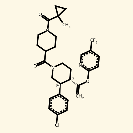 C=C(Oc1ccc(C(F)(F)F)cn1)[C@H]1CCN(C(=O)C2CCN(C(=O)C3(C)CC3)CC2)C[C@@H]1c1ccc(Cl)cc1